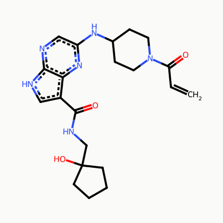 C=CC(=O)N1CCC(Nc2cnc3[nH]cc(C(=O)NCC4(O)CCCC4)c3n2)CC1